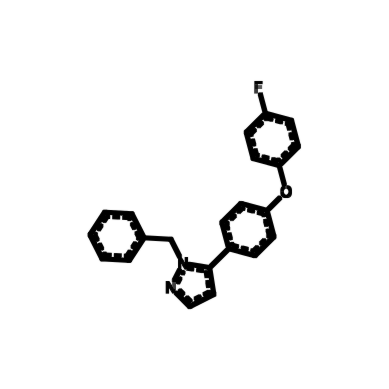 Fc1ccc(Oc2ccc(-c3ccnn3Cc3ccccc3)cc2)cc1